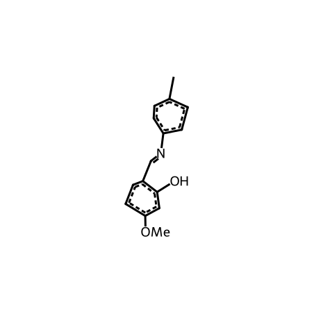 COc1ccc(/C=N/c2ccc(C)cc2)c(O)c1